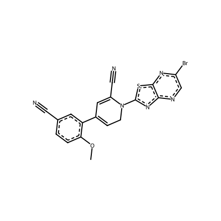 COc1ccc(C#N)cc1C1=CCN(c2nc3ncc(Br)nc3s2)C(C#N)=C1